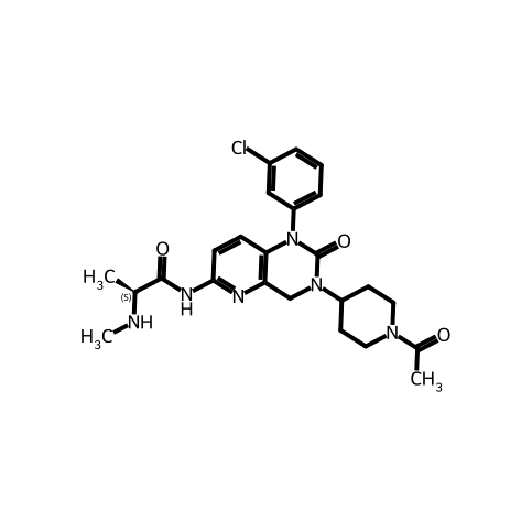 CN[C@@H](C)C(=O)Nc1ccc2c(n1)CN(C1CCN(C(C)=O)CC1)C(=O)N2c1cccc(Cl)c1